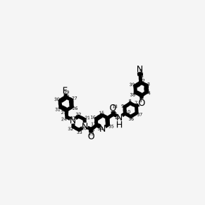 N#Cc1ccc(OC2CCC(NC(=O)c3ccc(C(=O)N4CCN(Cc5ccc(F)cc5)CC4)nc3)CC2)cc1